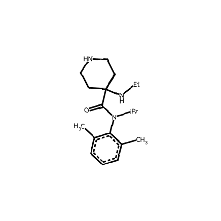 CCNC1(C(=O)N(c2c(C)cccc2C)C(C)C)CCNCC1